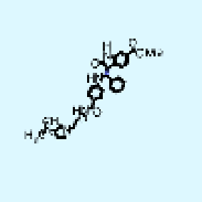 COC(=O)c1ccc2c(c1)NC(=O)/C2=C(\Nc1ccc(C(=O)NOCCN2CC[C@H](N(C)C)C2)cc1)c1ccccc1